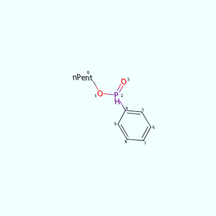 CCCCCO[PH](=O)c1ccccc1